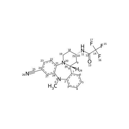 CN1c2ccccc2[C@H]2C[C@@H](NC(=O)C(F)(F)F)CCN2c2ccc(C#N)cc21